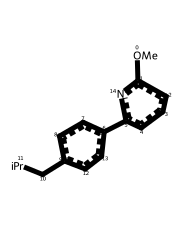 COc1cccc(-c2ccc(CC(C)C)cc2)n1